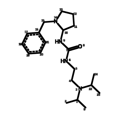 CC(C)N(CCNC(=O)NC1CCCN1Cc1ccccc1)C(C)C